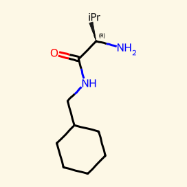 CC(C)[C@@H](N)C(=O)NCC1CCCCC1